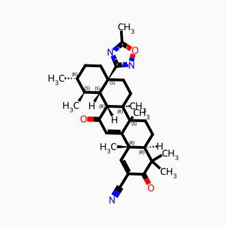 Cc1nc([C@]23CC[C@@H](C)[C@H](C)[C@H]2[C@H]2C(=O)C=C4[C@@]5(C)C=C(C#N)C(=O)C(C)(C)[C@@H]5CC[C@@]4(C)[C@]2(C)CC3)no1